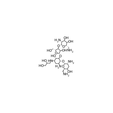 NC[C@@H]1O[C@H](O[C@H]2[C@@H](O)[C@H](O[C@@H]3[C@@H](O)[C@H](NCC(O)CO)C[C@H](N)[C@H]3O[C@H]3O[C@H](CN)[C@H](O)C[C@H]3N)O[C@@H]2CO)[C@H](N)[C@@H](O)[C@H]1O